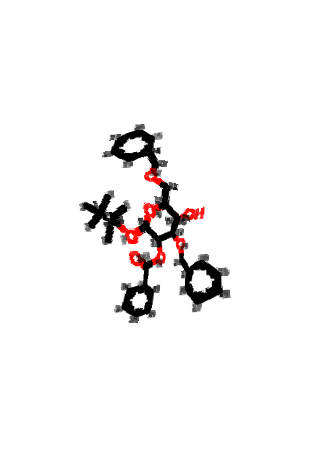 CC(C)(C)[Si](C)(C)OC1OC(COCc2ccccc2)[C@H](O)C(OCc2ccccc2)C1OC(=O)c1ccccc1